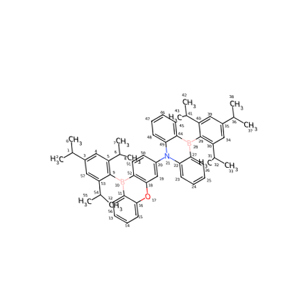 CC(C)c1cc(C(C)C)c(B2c3ccccc3Oc3cc(N4c5ccccc5B(c5c(C(C)C)cc(C(C)C)cc5C(C)C)c5ccccc54)ccc32)c(C(C)C)c1